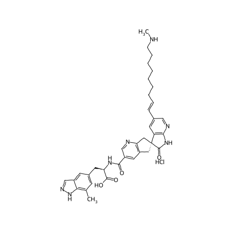 CNCCCCCCC/C=C/c1cnc2c(c1)[C@@]1(Cc3cc(C(=O)N[C@H](Cc4cc(C)c5[nH]ncc5c4)C(=O)O)cnc3C1)C(=O)N2.Cl